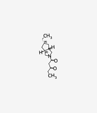 CCC(=O)CC(=O)N1C[C@H]2C[C@@H](CC)C[C@H]2C1